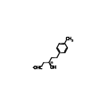 Cc1ccc(CC[C@@H](O)C[C]=O)cc1